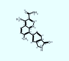 Cc1ccc2c(N)c(C(N)=O)nnc2c1-c1ccc2c(c1)CNC2=O